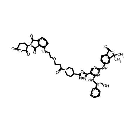 CC1(C)OC(=O)c2ccc(Nc3ncc(-c4nnc(C5CCN(C(=O)CCOCCNc6cccc7c6C(=O)N(C6CCC(=O)NC6=O)C7=O)CC5)o4)c(N[C@H](CO)c4ccccc4)n3)cc21